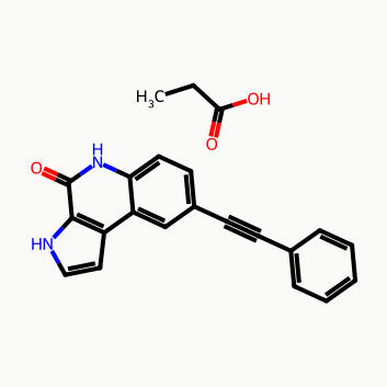 CCC(=O)O.O=c1[nH]c2ccc(C#Cc3ccccc3)cc2c2cc[nH]c12